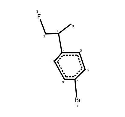 CC(CF)c1ccc(Br)cc1